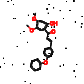 COc1cc(O)c(C(=O)/C=C/c2ccc(Oc3ccccc3)cc2)cc1OC